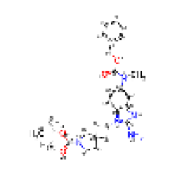 CN(C(=O)OCc1ccccc1)c1ccc2c(c1)nc(N)n2[C@H]1C[C@@]2(CCN(C(=O)OC(C)(C)C)C2)C1